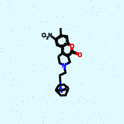 Cc1cc2oc(=O)c3c(c2cc1[N+](=O)[O-])CCN(CCN1CC2CCC(CC2)C1)C3